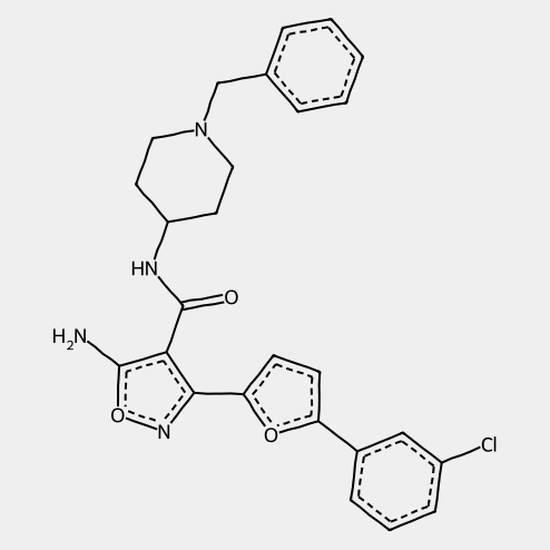 Nc1onc(-c2ccc(-c3cccc(Cl)c3)o2)c1C(=O)NC1CCN(Cc2ccccc2)CC1